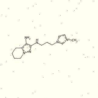 C[n+]1ccn(CCCNc2nn3c(c2N)CCCC3)c1